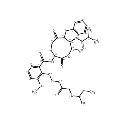 CCC(C)OCC(=O)OCOc1c(OC)ccnc1C(=O)N[C@H]1COC(=O)C(Cc2ccccc2)[C@@H](OC(=O)C(C)C)[C@H](C)OC1=O